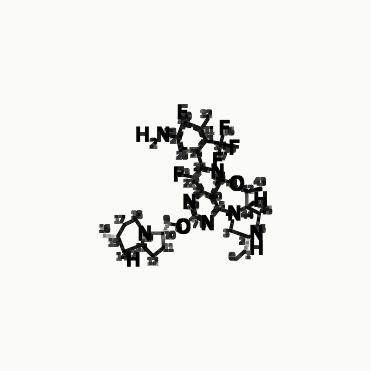 CC[C@@H]1CN2c3nc(OC[C@@H]4CC[C@H]5C[C@H](C)CCN45)nc4c(F)c(-c5cc(N)c(F)c(C)c5C(F)(F)F)nc(c34)O[C@@H](C)[C@@H]2CN1